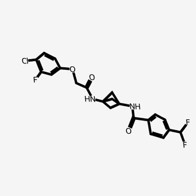 O=C(COc1ccc(Cl)c(F)c1)NC12CC(NC(=O)c3ccc(C(F)F)cc3)(C1)C2